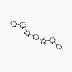 c1ccc(-c2cccc(-c3nnc(-c4ccc(-c5nnc(-c6cccc(-c7ccccc7)n6)s5)cc4)s3)n2)cc1